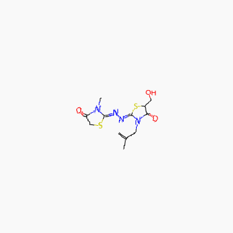 C=C(C)CN1C(=O)C(CO)SC1=NN=C1SCC(=O)N1C